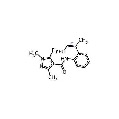 CCCC/C=C(/C)c1ccccc1NC(=O)c1c(C)nn(C)c1F